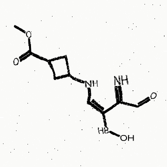 COC(=O)C1CC(N/C=C(/BO)C(=N)C=O)C1